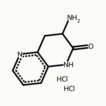 Cl.Cl.NC1Cc2ncccc2NC1=O